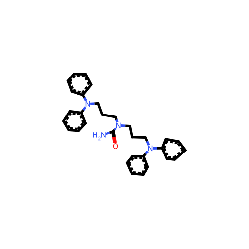 NC(=O)N(CCCN(c1ccccc1)c1ccccc1)CCCN(c1ccccc1)c1ccccc1